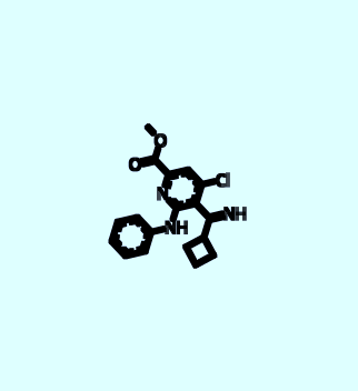 COC(=O)c1cc(Cl)c(C(=N)C2CCC2)c(Nc2ccccc2)n1